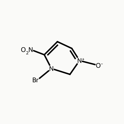 O=[N+]([O-])C1=CC=[N+]([O-])CN1Br